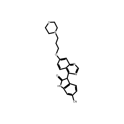 N#Cc1ccc2c(c1)NC(=O)C2c1ncnc2cc(OCCCN3CCOCC3)ccc12